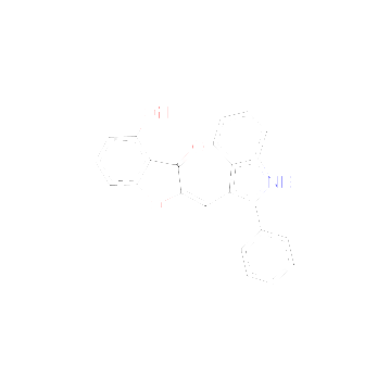 O=C1C(=Cc2c(-c3ccccc3)[nH]c3ccccc23)Oc2cccc(O)c21